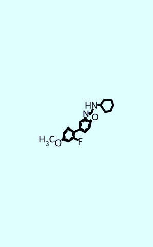 COc1ccc(-c2ccc3oc(NC4CCCCC4)nc3c2)c(F)c1